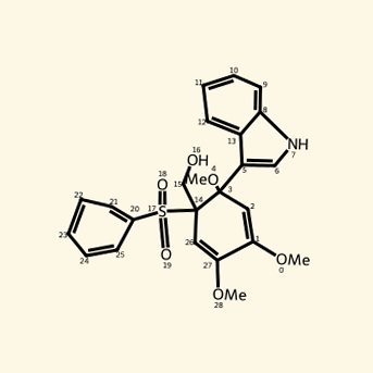 COC1=CC(OC)(c2c[nH]c3ccccc23)C(CO)(S(=O)(=O)c2ccccc2)C=C1OC